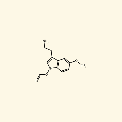 COc1ccc2c(c1)c(CCN)cn2OC=O